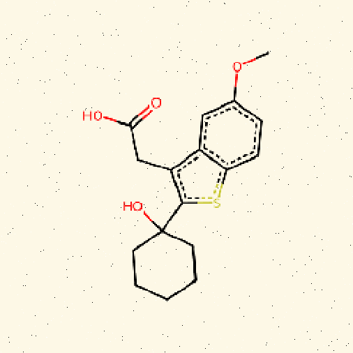 COc1ccc2sc(C3(O)CCCCC3)c(CC(=O)O)c2c1